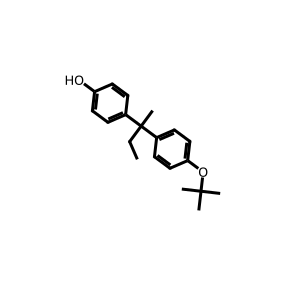 CCC(C)(c1ccc(O)cc1)c1ccc(OC(C)(C)C)cc1